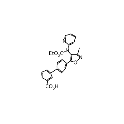 CCOC(=O)N(c1ccccn1)c1c(C)noc1-c1ccc(-c2cccc(C(=O)O)c2)cc1